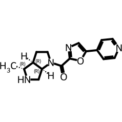 C[C@H]1NC[C@H]2[C@@H]1CCN2C(=O)c1ncc(-c2ccncc2)o1